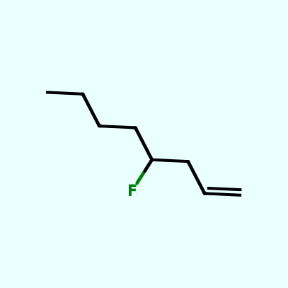 C=CCC(F)CCCC